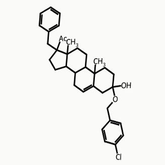 CC(=O)C1(Cc2ccccc2)CCC2C3CC=C4CC(O)(OCc5ccc(Cl)cc5)CCC4(C)C3CCC21C